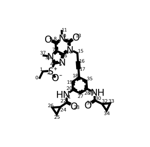 CC[S+]([O-])c1nc2c(c(=O)n(C)c(=O)n2CC#Cc2cc(NC(=O)C3CC3)cc(NC(=O)C3CC3)c2)n1C